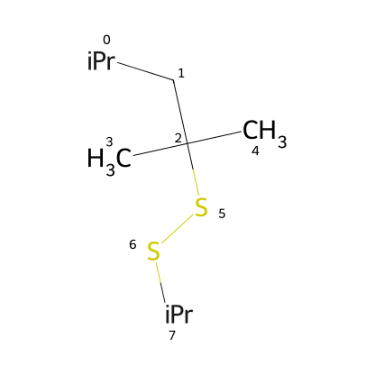 CC(C)CC(C)(C)SSC(C)C